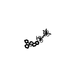 CCO[Si](CCCNC(=O)Oc1ccc2ccc3c(c2c1)C=CC(c1ccccc1)(c1ccccc1)O3)(OCC)OCC